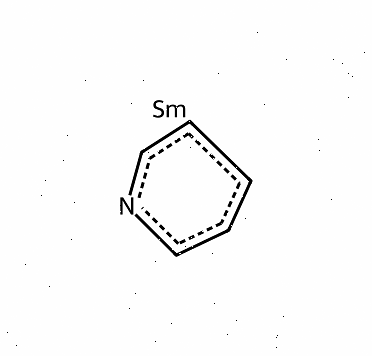 [Sm].c1ccncc1